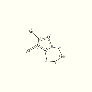 CC(=O)n1oc2c(c1=O)CCNC2